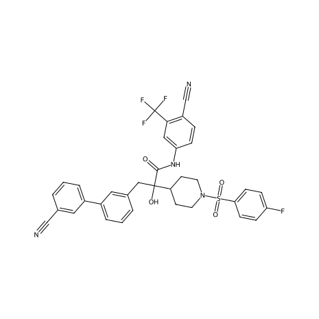 N#Cc1cccc(-c2cccc(CC(O)(C(=O)Nc3ccc(C#N)c(C(F)(F)F)c3)C3CCN(S(=O)(=O)c4ccc(F)cc4)CC3)c2)c1